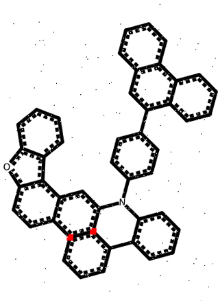 c1ccc(-c2ccccc2N(c2ccc(-c3cc4ccccc4c4ccccc34)cc2)c2ccc3ccc4oc5ccccc5c4c3c2)cc1